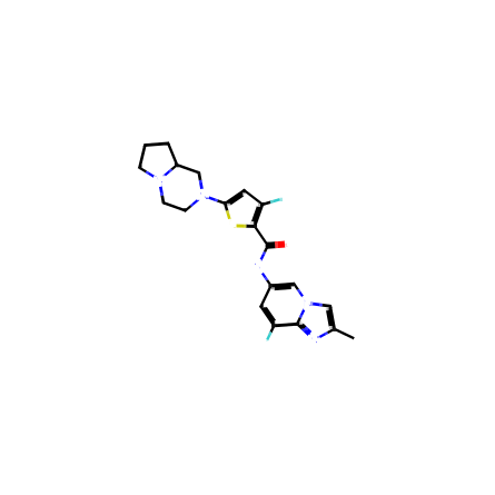 Cc1cn2cc(NC(=O)c3sc(N4CCN5CCCC5C4)cc3F)cc(F)c2n1